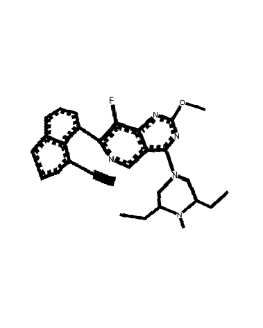 C#Cc1cccc2cccc(-c3ncc4c(N5CC(CC)N(C)C(CC)C5)nc(OC)nc4c3F)c12